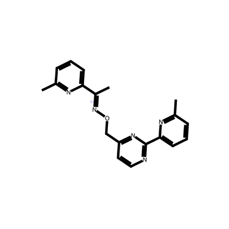 C/C(=N\OCc1ccnc(-c2cccc(C)n2)n1)c1cccc(C)n1